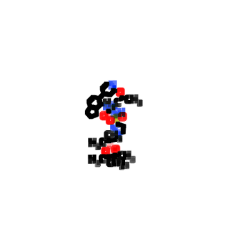 CC(C)Oc1cc(-c2ccc3c(c2NC(=O)NS(=O)(=O)c2ccn(CC(C)(C)B4OC(C)(C)C(C)(C)O4)n2)CCC3)ccn1